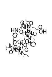 CC[C@H](C)[C@@H]([C@@H](CC(=O)N1CCC[C@H]1[C@H](OC)[C@@H](C)C(=O)N[C@@H](Cc1ccccc1)C(N)=O)OC)N(C)C(=O)CNC(=O)C(C(C)C)N(C)C(=O)OCc1ccc(NC(=O)CNC(=O)C(NC(=O)CCCC(=O)O)C(C)C)cc1